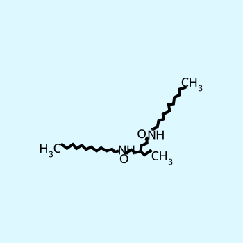 CCCCCCCCCCCCCNC(=O)CCC(CCC)CCC(=O)NCCCCCCCCCCCCC